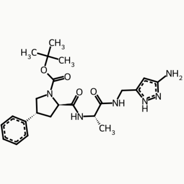 C[C@H](NC(=O)[C@H]1C[C@H](c2ccccc2)CN1C(=O)OC(C)(C)C)C(=O)NCc1cc(N)n[nH]1